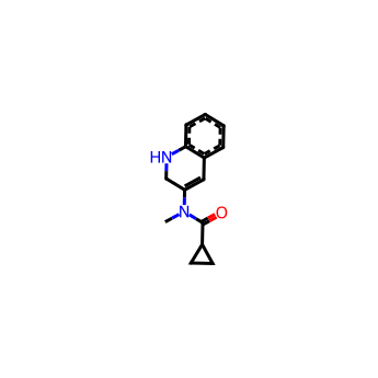 CN(C(=O)C1CC1)C1=Cc2ccccc2NC1